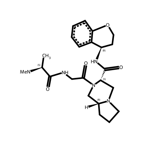 CN[C@@H](C)C(=O)NCC(=O)N1C[C@H]2CCCN2C[C@H]1C(=O)N[C@@H]1CCOc2ccccc21